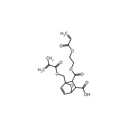 C=CC(=O)OCCOC(=O)C1C(C(=O)O)C2C=CC1(COC(=O)C(=C)C)O2